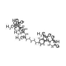 CN(CCCCCc1ccc2c(c1)n(C)c(=O)n2C1CCC(=O)NC1=O)CC12CCC(N(C(=O)O)C(C)(C)C)(CC1)CC2